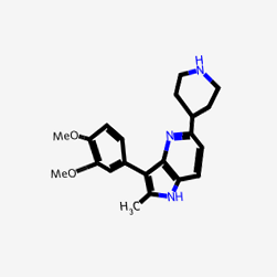 COc1ccc(-c2c(C)[nH]c3ccc(C4CCNCC4)nc23)cc1OC